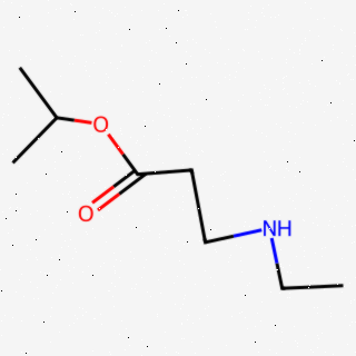 CCNCCC(=O)OC(C)C